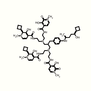 C=C(CCC(O)=C1CCC1)Nc1ccc(CC(CN(CCNC(=O)C2=C(O)C(=C3CCC3)N(C)C=C2)CCNC(=O)c2ccn(C)c(=O)c2O)CN(CCNC(=O)C2=C(O)C(=C3CCC3)N(C)C=C2)CCNC(=O)c2ccn(C)c(=O)c2O)cc1